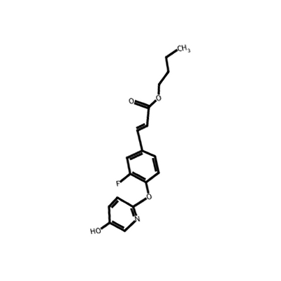 CCCCOC(=O)/C=C/c1ccc(Oc2ccc(O)cn2)c(F)c1